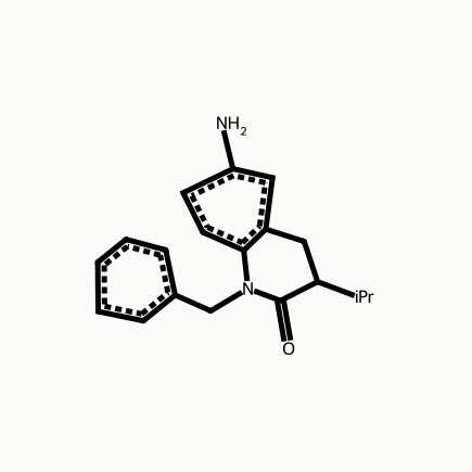 CC(C)C1Cc2cc(N)ccc2N(Cc2ccccc2)C1=O